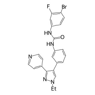 CCn1cc(-c2cccc(NC(=O)Nc3ccc(Br)c(F)c3)c2)c(-c2ccncc2)n1